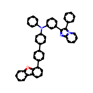 c1ccc(-c2c(-c3cccc(N(c4ccccc4)c4ccc(-c5ccc(-c6cccc7c6oc6ccccc67)cc5)cc4)c3)nc3ccccn23)cc1